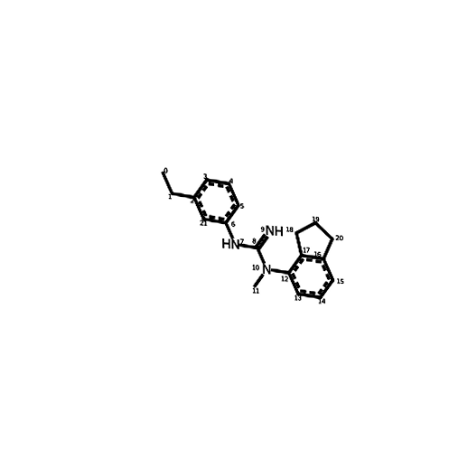 CCc1cccc(NC(=N)N(C)c2cccc3c2CCC3)c1